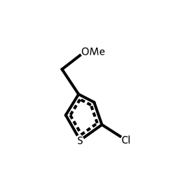 [CH2]OCc1csc(Cl)c1